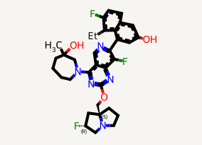 CCc1c(F)ccc2cc(O)cc(-c3ncc4c(N5CCCCC(C)(O)C5)nc(OC[C@@]56CCCN5C[C@H](F)C6)nc4c3F)c12